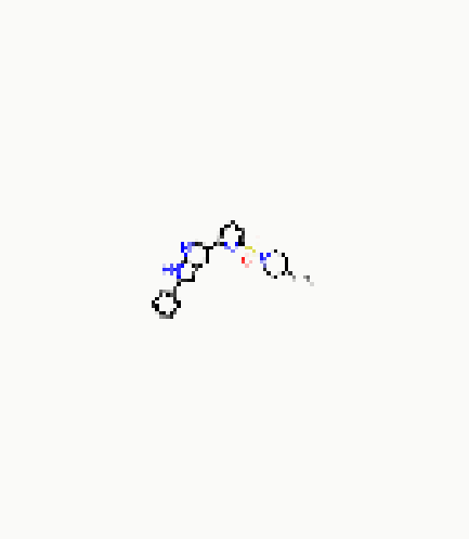 CC1CCN(S(=O)(=O)c2cccc(-c3cnc4[nH]c(-c5ccccc5)cc4c3)n2)CC1